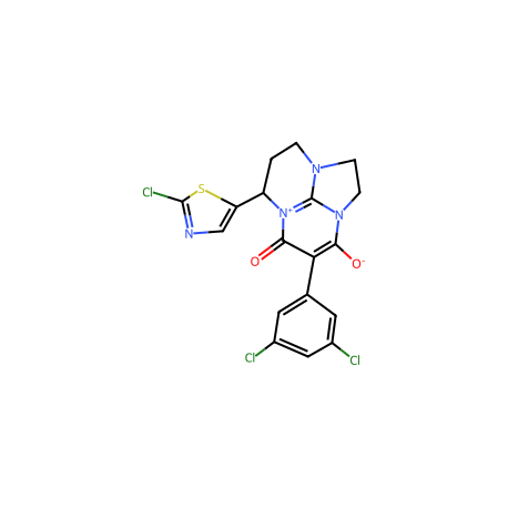 O=c1c(-c2cc(Cl)cc(Cl)c2)c([O-])n2c3[n+]1C(c1cnc(Cl)s1)CCN3CC2